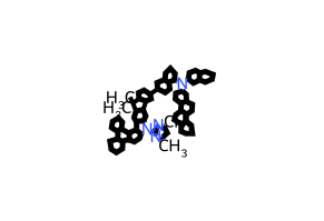 Cc1cc(C)nc(-n2c3cc4c(cc3c3c5c6ccccc6c6ccccc6c5ccc32)C(C)(C)c2ccc(-c3ccc5c(N(c6ccc7ccccc7c6)c6ccc7c(ccc8c9ccccc9ccc78)c6)cccc5c3)cc2-4)n1